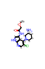 CC(C)OCC(=O)Nc1c[nH]c2ncc(Cl)c(N3CCC[C@@H](N)C3)c12